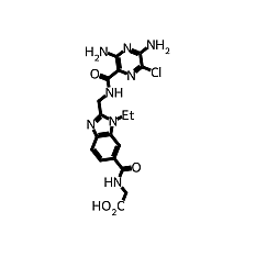 CCn1c(CNC(=O)c2nc(Cl)c(N)nc2N)nc2ccc(C(=O)NCC(=O)O)cc21